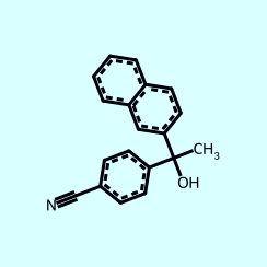 CC(O)(c1ccc(C#N)cc1)c1ccc2ccccc2c1